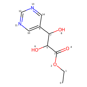 CCOC(=O)C(O)C(O)c1cncnc1